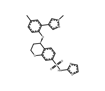 Cc1ccc(O[C@@H]2CCOc3cc(S(=O)(=O)Nc4nccs4)ccc32)c(-c2cnn(C)c2)c1